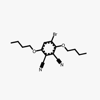 CCCCOc1cc(Br)c(OCCCC)c(C#N)c1C#N